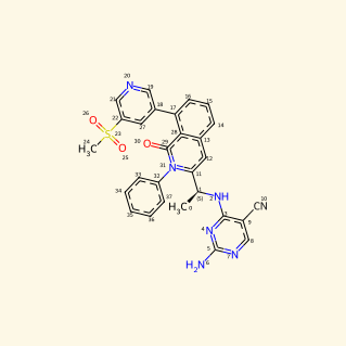 C[C@H](Nc1nc(N)ncc1C#N)c1cc2cccc(-c3cncc(S(C)(=O)=O)c3)c2c(=O)n1-c1ccccc1